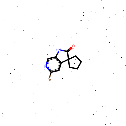 O=C1Nc2cnc(Br)cc2C12CCCC2